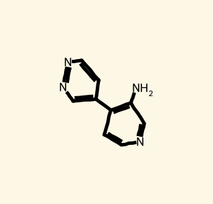 Nc1cnccc1-c1ccnnc1